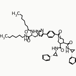 CCCCCCNC(=O)[C@H](Cn1cc(-c2ccc(C(=O)N3CC(C(=O)N[C@H]4C[C@@H]4c4ccccc4)C(C(=O)N[C@H]4C[C@@H]4c4ccccc4)C3)cc2)nn1)NC(=O)CCCCCC